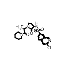 C[C@@H](C(=O)N1CCCCC1)N1CC[C@@H](NS(=O)(=O)c2ccc3cc(Cl)ncc3c2)C1=O